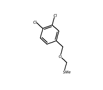 CSCOCc1ccc(Cl)c(Cl)c1